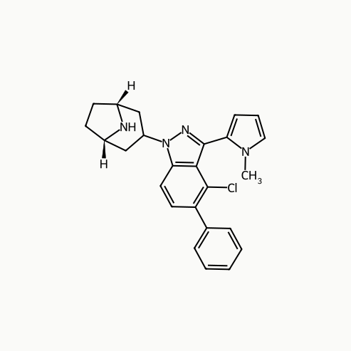 Cn1cccc1-c1nn(C2C[C@H]3CC[C@@H](C2)N3)c2ccc(-c3ccccc3)c(Cl)c12